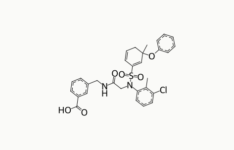 Cc1c(Cl)cccc1N(CC(=O)NCc1cccc(C(=O)O)c1)S(=O)(=O)C1=CC(C)(Oc2ccccc2)CC=C1